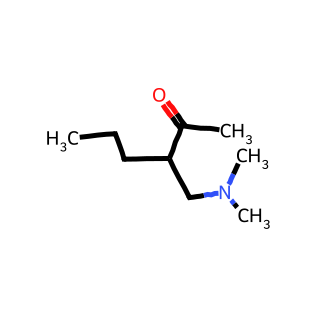 CCCC(CN(C)C)C(C)=O